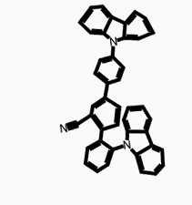 N#Cc1cc(-c2ccc(-n3c4ccccc4c4ccccc43)cc2)ccc1-c1ccccc1-n1c2ccccc2c2ccccc21